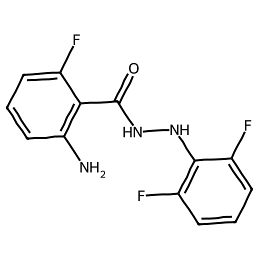 Nc1cccc(F)c1C(=O)NNc1c(F)cccc1F